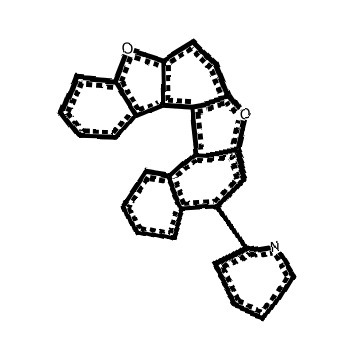 c1ccc(-c2cc3oc4ccc5oc6ccccc6c5c4c3c3ccccc23)nc1